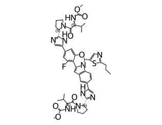 CCCc1ncc(C2Oc3cc(-c4cnc([C@@H]5CCCN5C(=O)[C@@H](NC(=O)OC)C(C)C)[nH]4)cc(F)c3-c3cc4cc(-c5cnc([C@@H]6CCCN6C(=O)[C@@H](NC(=O)OC)C(C)C)[nH]5)ccc4n32)s1